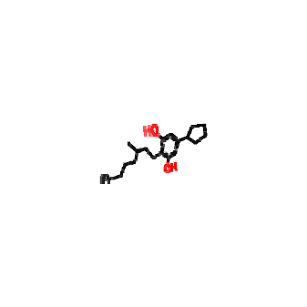 CC(C)CCCC(C)CCc1c(O)cc(C2CCCC2)cc1O